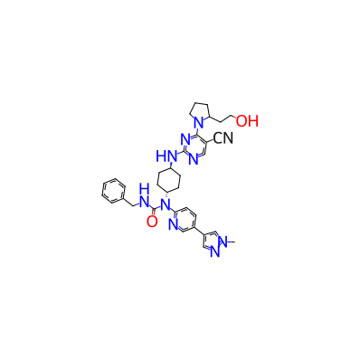 Cn1cc(-c2ccc(N(C(=O)NCc3ccccc3)[C@H]3CC[C@H](Nc4ncc(C#N)c(N5CCCC5CCO)n4)CC3)nc2)cn1